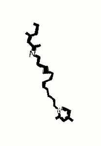 C\C=C/C(C)=C\C(C)=N\CCCC/C=C\C=C/CCCC[n+]1ccc(C)cc1C